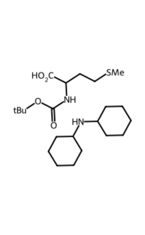 C1CCC(NC2CCCCC2)CC1.CSCCC(NC(=O)OC(C)(C)C)C(=O)O